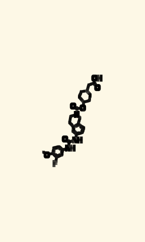 COc1ccc(NC(=O)Nc2ccc3c(c2)CCN(C(=O)OC2CCC(CC(=O)O)CC2)C3)cc1F